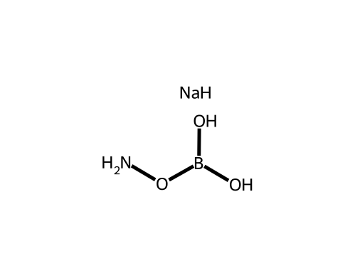 NOB(O)O.[NaH]